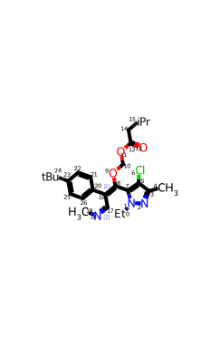 CCn1nc(C)c(Cl)c1/C(OCOC(=O)CC(C)C)=C(\C=N/C)c1ccc(C(C)(C)C)cc1